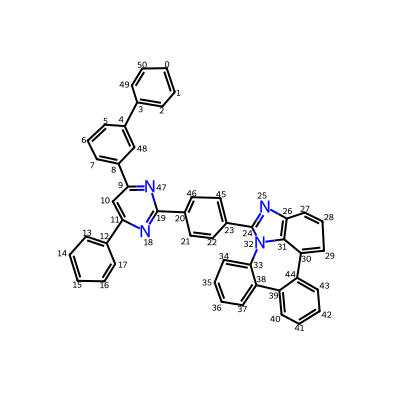 c1ccc(-c2cccc(-c3cc(-c4ccccc4)nc(-c4ccc(-c5nc6cccc7c6n5-c5ccccc5-c5ccccc5-7)cc4)n3)c2)cc1